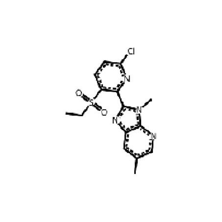 CCS(=O)(=O)c1ccc(Cl)nc1-c1nc2cc(C)cnc2n1C